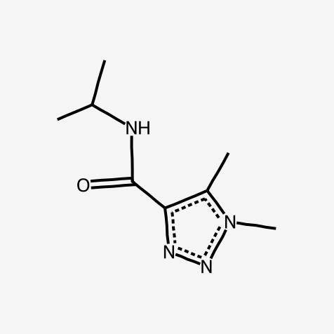 Cc1c(C(=O)NC(C)C)nnn1C